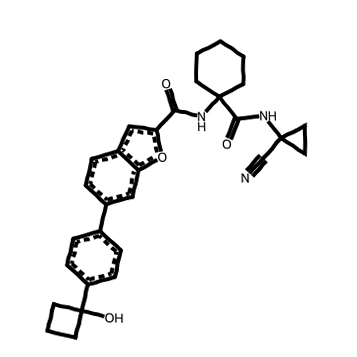 N#CC1(NC(=O)C2(NC(=O)c3cc4ccc(-c5ccc(C6(O)CCC6)cc5)cc4o3)CCCCC2)CC1